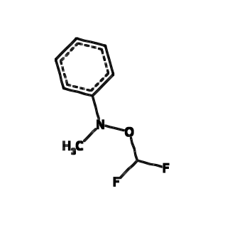 CN(OC(F)F)c1ccccc1